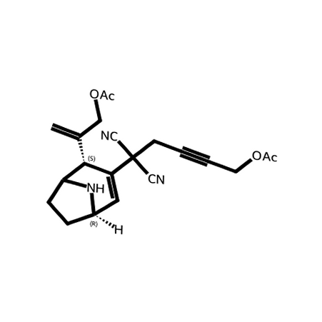 C=C(COC(C)=O)[C@@H]1C(C(C#N)(C#N)CC#CCOC(C)=O)=C[C@H]2CCC1N2